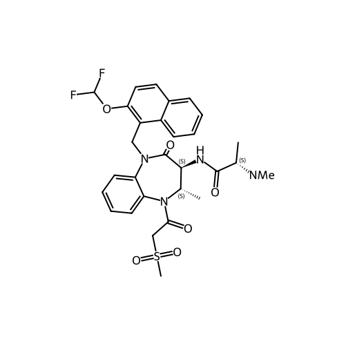 CN[C@@H](C)C(=O)N[C@@H]1C(=O)N(Cc2c(OC(F)F)ccc3ccccc23)c2ccccc2N(C(=O)CS(C)(=O)=O)[C@H]1C